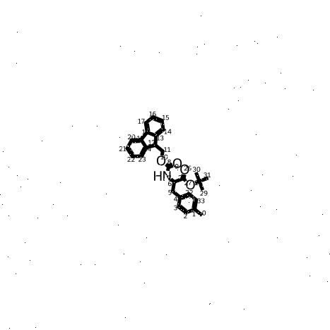 Cc1ccc(CC(NC(=O)OCC2c3ccccc3-c3ccccc32)C(=O)OC(C)(C)C)cc1